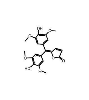 COc1cc(C(=C2C=CC(=O)O2)c2cc(OC)c(O)c(OC)c2)cc(OC)c1O